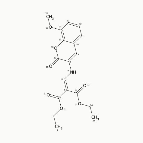 CCOC(=O)C(=CNc1cc2cccc(OC)c2oc1=O)C(=O)OCC